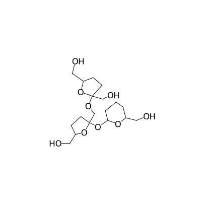 OCC1CCCC(OC2(COC3(CO)CCC(CO)O3)CCC(CO)O2)O1